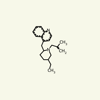 C=C(C)CN1CC(CC)CCC1Cc1ccnc2ccccc12